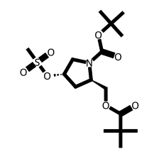 CC(C)(C)OC(=O)N1C[C@@H](OS(C)(=O)=O)C[C@@H]1COC(=O)C(C)(C)C